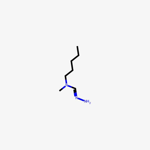 CCCCCN(C)C=NN